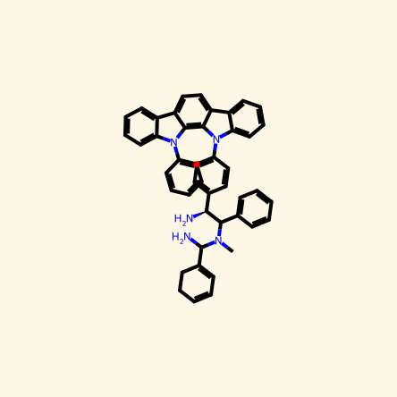 CN(C(N)C1=CC=CCC1)C(c1ccccc1)[C@@H](N)c1ccc(-n2c3ccccc3c3ccc4c5ccccc5n(-c5ccccc5)c4c32)cc1